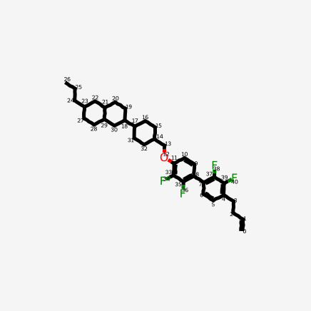 C=CCCc1ccc(-c2ccc(OCC3CCC(C4CCC5CC(CCC)CCC5C4)CC3)c(F)c2F)c(F)c1F